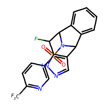 O=S(=O)(c1ccc(C(F)(F)F)nc1)N1C2c3ccccc3C1C(F)c1[nH]ncc12